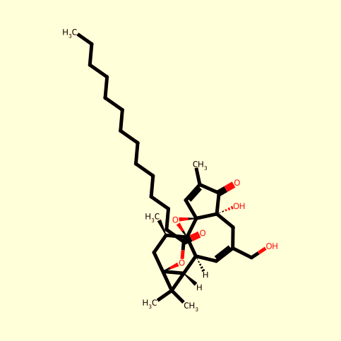 CCCCCCCCCCCCCC(=O)O[C@@]12C[C@@H](C)[C@]34O[C@]35C=C(C)C(=O)[C@@]5(O)CC(CO)=C[C@H]4[C@@H]1C2(C)C